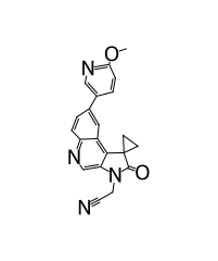 COc1ccc(-c2ccc3ncc4c(c3c2)C2(CC2)C(=O)N4CC#N)cn1